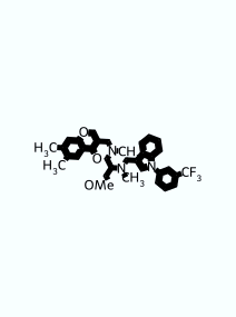 COCC(CN(C)Cc1coc2cc(C)c(C)cc2c1=O)N(C)Cc1cn(-c2cccc(C(F)(F)F)c2)c2ccccc12